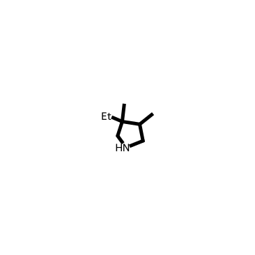 CCC1(C)CNCC1C